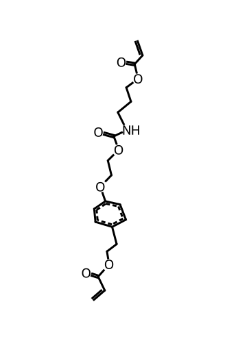 C=CC(=O)OCCCNC(=O)OCCOc1ccc(CCOC(=O)C=C)cc1